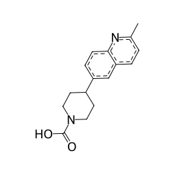 Cc1ccc2cc(C3CCN(C(=O)O)CC3)ccc2n1